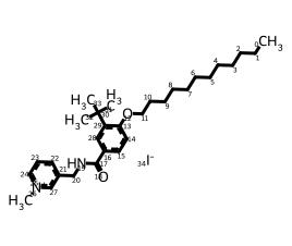 CCCCCCCCCCCCOc1ccc(C(=O)NCc2ccc[n+](C)c2)cc1C(C)(C)C.[I-]